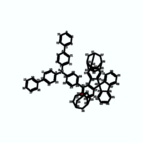 c1ccc(-c2ccc(N(c3ccc(-c4ccccc4)cc3)c3ccc(-c4c5c(cc6c4C4CC7CC(CC6C7)C4)C4(c6ccccc6-c6ccccc64)c4cc6c(cc4-5)C4CC5CC(C4)CC6C5)cc3)cc2)cc1